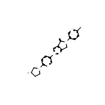 Cc1ccc(N2Cc3nn(-c4ccc(N5CC[C@@H](F)C5)nc4)cc3C2=O)cn1